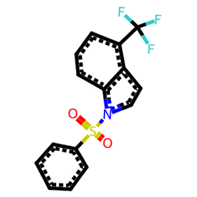 O=S(=O)(c1ccccc1)n1ccc2c(C(F)(F)F)cccc21